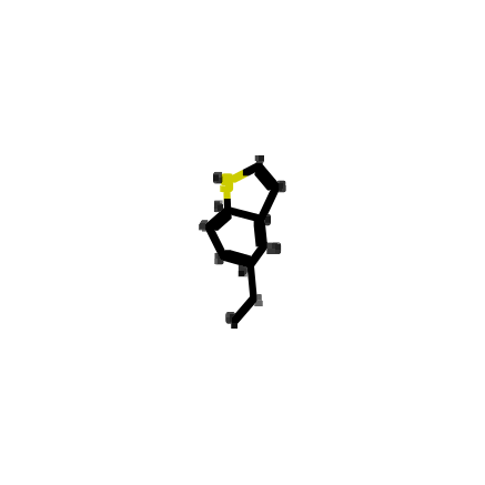 [CH2]Cc1ccc2sccc2c1